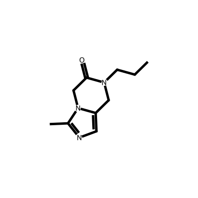 CCCN1Cc2cnc(C)n2CC1=O